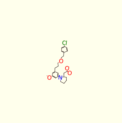 COC(=O)CC1CCCCN1c1cc(CCCOCCc2ccc(Cl)cc2)cc(OC)c1